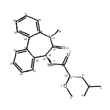 CO[C@@H](CC(C)C)C(=O)N[C@@H]1C(=O)N(C)c2ccccc2-c2ccccc21